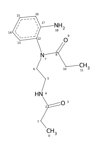 CCC(=O)NCCN(C(=O)CC)c1ccccc1N